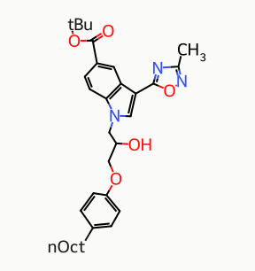 CCCCCCCCc1ccc(OCC(O)Cn2cc(-c3nc(C)no3)c3cc(C(=O)OC(C)(C)C)ccc32)cc1